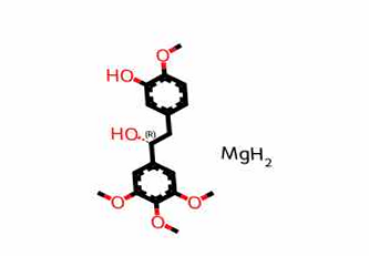 COc1ccc(C[C@@H](O)c2cc(OC)c(OC)c(OC)c2)cc1O.[MgH2]